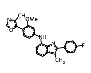 COc1cc(Nc2cccc3c2nc(-c2ccc(F)cc2)n3C)ccc1-c1ocnc1C